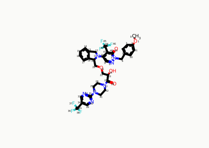 COc1ccc(Cn2ncc(N3Cc4ccccc4C3COCC(O)C(=O)N3CCN(c4ncc(C(F)(F)F)cn4)CC3)c(C(F)(F)F)c2=O)cc1